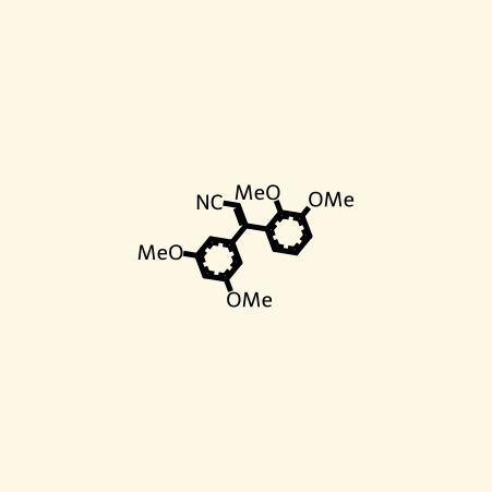 COc1cc(OC)cc(/C(=C\C#N)c2cccc(OC)c2OC)c1